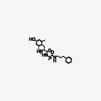 CNC(Cc1c(C)cc(O)cc1C)C(=O)N[C@H](C)C(=O)NCCCc1ccccc1